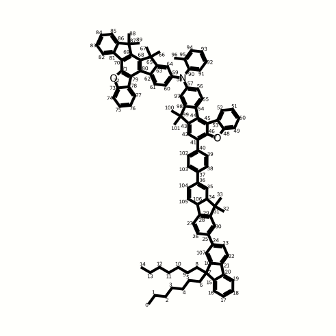 CCCCCCCC1(CCCCCCC)c2ccccc2-c2ccc(-c3ccc4c(c3)C(C)(C)C3C=C(c5ccc(-c6cc7c(c8c6oc6ccccc68)-c6ccc(N(c8ccc9c(c8)C(C)(C)c8c%10c(c%11oc%12ccccc%12c%11c8-9)-c8ccccc8C%10(C)C)c8ccccc8C)cc6C7(C)C)cc5)C=CC43)cc21